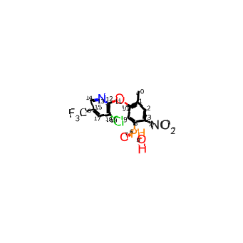 Cc1cc([N+](=O)[O-])c([PH](=O)O)cc1Oc1ncc(C(F)(F)F)cc1Cl